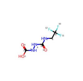 O=C(O)NNC(=O)NCC(F)(F)F